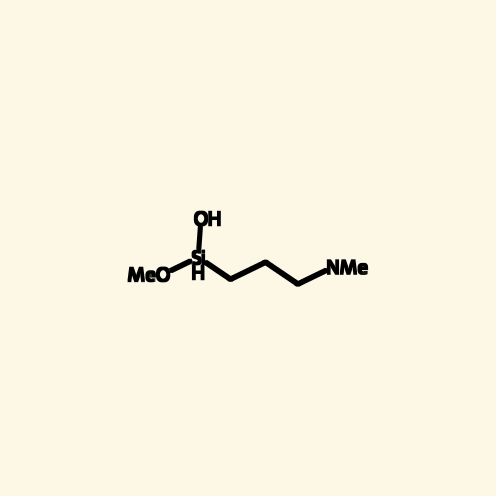 CNCCC[SiH](O)OC